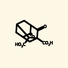 O=C1C2CC3CC1C(=O)C(C(=O)O)(C2)C3C(=O)O